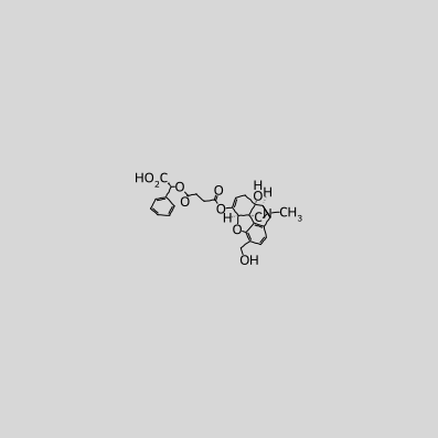 CN1CC[C@]23c4c5ccc(CO)c4O[C@H]2C(OC(=O)CCC(=O)O[C@H](C(=O)O)c2ccccc2)=CC[C@@]3(O)[C@H]1C5